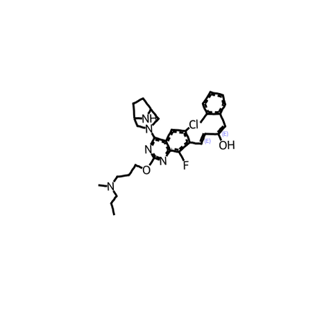 CCCN(C)CCCOc1nc(N2CC3CCC(C2)N3)c2cc(Cl)c(/C=C/C(O)=C\c3ccccc3C)c(F)c2n1